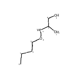 CCCCOPC(O)CO